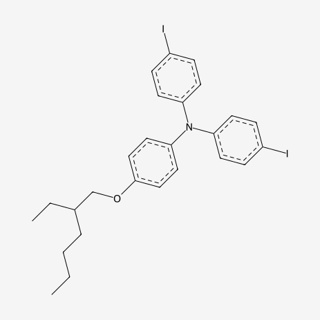 CCCCC(CC)COc1ccc(N(c2ccc(I)cc2)c2ccc(I)cc2)cc1